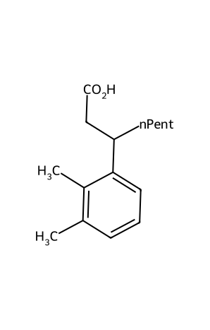 CCCCCC(CC(=O)O)c1cccc(C)c1C